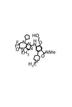 CNC(=O)c1cc(OCCO)c(Nc2ncc3c(n2)N(C2CCCC2)CC(F)(F)C(=O)N3C)cc1C1CCN(C)CC1